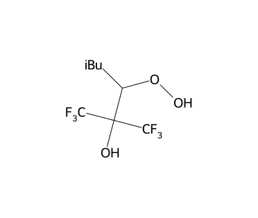 CCC(C)C(OO)C(O)(C(F)(F)F)C(F)(F)F